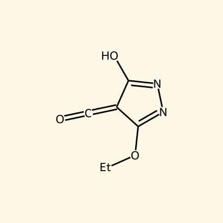 CCOC1=NN=C(O)C1=C=O